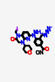 [N-]=[N+]=NCc1cc(C(=O)N=O)ccc1N(N)c1ccc2c(n1)N(C1CCOCC1)CC(=O)N2CI